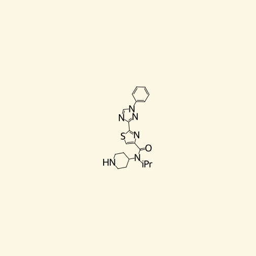 CC(C)N(C(=O)c1csc(-c2ncn(-c3ccccc3)n2)n1)C1CCNCC1